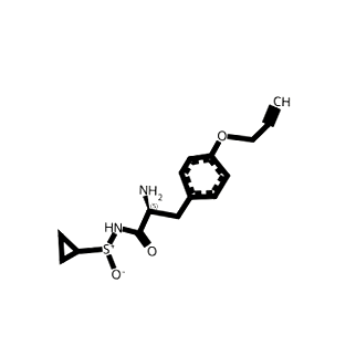 C#CCOc1ccc(C[C@H](N)C(=O)N[S+]([O-])C2CC2)cc1